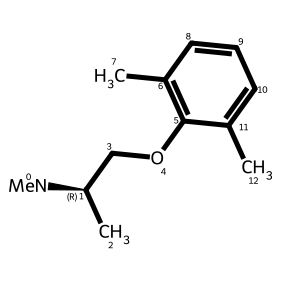 CN[C@H](C)COc1c(C)cccc1C